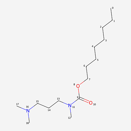 CCCCCCCCOC(=O)N(C)CCCN(C)C